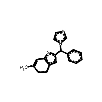 CC1=Cc2sc(C(c3ccccc3)n3ccnc3)cc2CC1